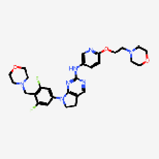 Fc1cc(N2CCc3cnc(Nc4ccc(OCCN5CCOCC5)nc4)nc32)cc(F)c1CN1CCOCC1